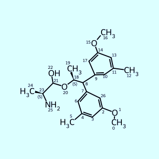 COc1cc(C)cc(C(c2cc(C)cc(OC)c2)[C@H](C)OC(O)[C@H](C)N)c1